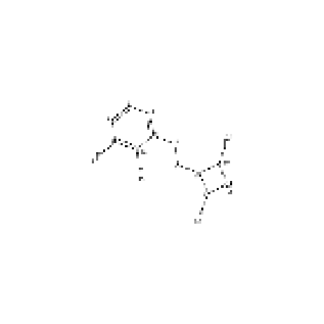 Fc1cccc(CCC2C(F)OC2F)c1F